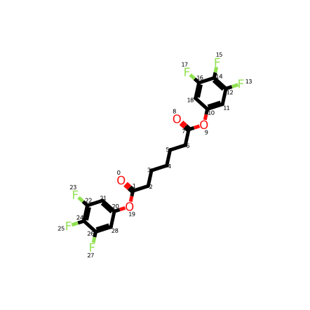 O=C(CCCCCC(=O)Oc1cc(F)c(F)c(F)c1)Oc1cc(F)c(F)c(F)c1